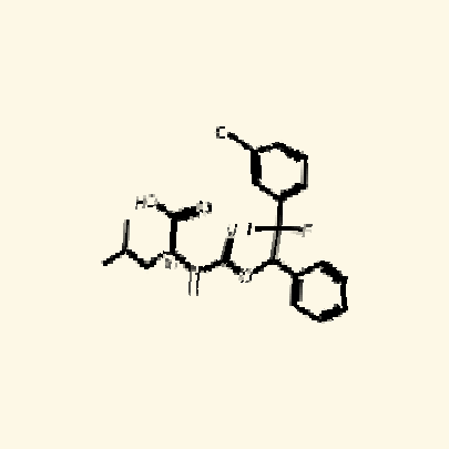 CC(C)C[C@H](NC(=O)OC(c1ccccc1)C(F)(F)c1cccc(Cl)c1)C(=O)O